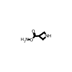 NOC(=O)C1CNC1